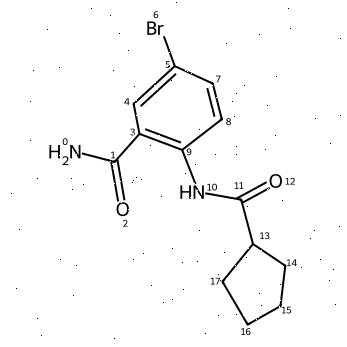 NC(=O)c1cc(Br)ccc1NC(=O)C1CCCC1